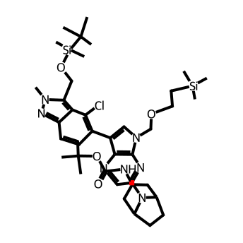 Cn1nc2ccc(-c3cn(COCC[Si](C)(C)C)c4nc(N5C6CCC5CC(NC(=O)OC(C)(C)C)C6)cnc34)c(Cl)c2c1CO[Si](C)(C)C(C)(C)C